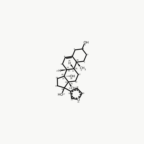 C[C@]12CCC(O)CC1=CC[C@@H]1[C@H]2CC[C@]2(C)C(O)(c3ccoc3)CC[C@@]12O